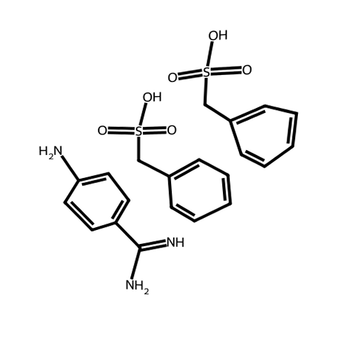 N=C(N)c1ccc(N)cc1.O=S(=O)(O)Cc1ccccc1.O=S(=O)(O)Cc1ccccc1